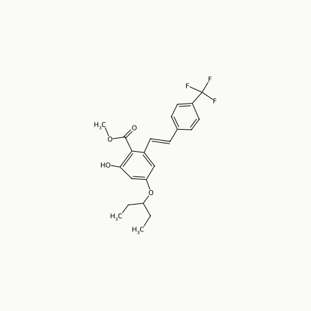 CCC(CC)Oc1cc(O)c(C(=O)OC)c(C=Cc2ccc(C(F)(F)F)cc2)c1